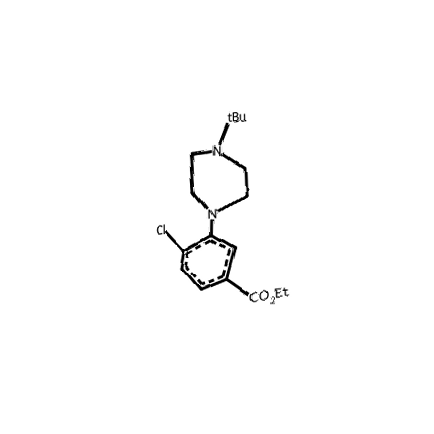 CCOC(=O)c1ccc(Cl)c(N2CCN(C(C)(C)C)CC2)c1